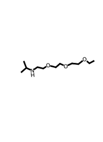 CCOCCOCCOCCNC(C)C